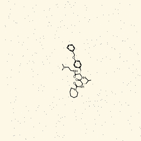 CC(C)C[C@H](NC(=O)N1CCCCCC1)C(=O)N[C@@H](Cc1ccc(OCc2ccccc2)cc1)C(=O)NCCN(C)C